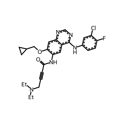 CCN(CC)CC#CC(=O)Nc1cc2c(Nc3ccc(F)c(Cl)c3)ncnc2cc1OCC1CC1